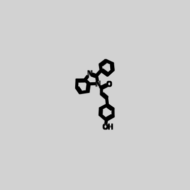 O=C(/C=C/c1ccc(O)cc1)n1c(-c2ccccc2)nc2ccccc21